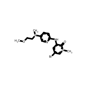 COCCN(C)c1ccc(Nc2cc(Br)cn(C)c2=O)nc1